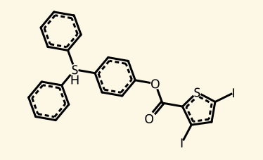 O=C(Oc1ccc([SH](c2ccccc2)c2ccccc2)cc1)c1sc(I)cc1I